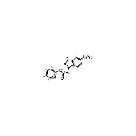 COc1ccc2c(c1)CCC2CC(=O)Sc1ccccn1